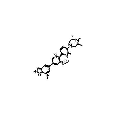 CC1CN(c2ccc(-c3ncc(-c4cc(F)c5nn(C)cc5c4)cc3O)nn2)C[C@H](C)N1C